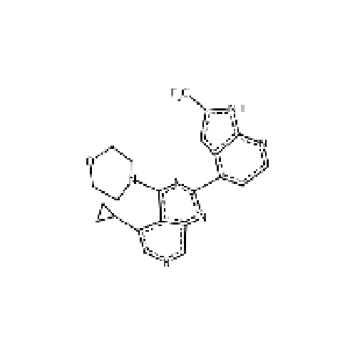 FC(F)(F)c1cc2c(-c3nc(N4CCOCC4)c4c(C5CC5)cncc4n3)ccnc2[nH]1